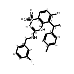 Cc1ccc(C(C)c2c(F)ccc3c2NC(NCc2cccc(F)c2)=NS3(=O)=O)cc1